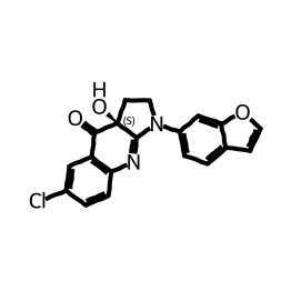 O=C1c2cc(Cl)ccc2N=C2N(c3ccc4ccoc4c3)CC[C@@]12O